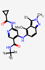 [2H]C([2H])([2H])NC(=O)c1cnc(NC(=O)C2CC2)cc1Nc1ccc2nn(C)c(CC)c2c1OC